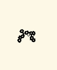 CC1(C)c2ccccc2-c2ccc(N(c3ccccc3)c3ccc4c(c3)oc3c(-c5ccc6ccccc6c5)c5ccccc5cc34)cc21